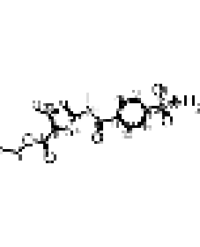 CCOC(=O)c1sc(NC(=O)c2ccc(S(N)(=O)=O)cc2)nc1C